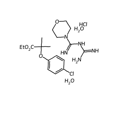 CCOC(=O)C(C)(C)Oc1ccc(Cl)cc1.Cl.N=C(N)NC(=N)N1CCOCC1.O.O